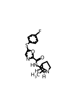 C[C@H]1[C@H](NC(=O)c2ncc(Sc3ccc(F)cc3)o2)C2CCN1CC2